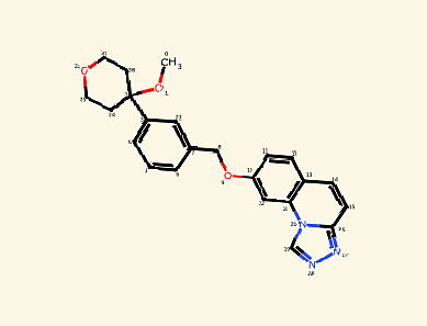 COC1(c2cccc(COc3ccc4ccc5nncn5c4c3)c2)CCOCC1